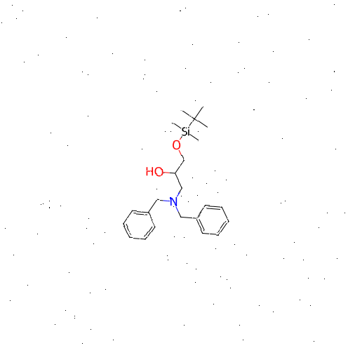 CC(C)(C)[Si](C)(C)OCC(O)CN(Cc1ccccc1)Cc1ccccc1